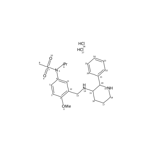 COc1ccc(N(C(C)C)S(C)(=O)=O)cc1CNC1CCCNC1c1ccccc1.Cl.Cl